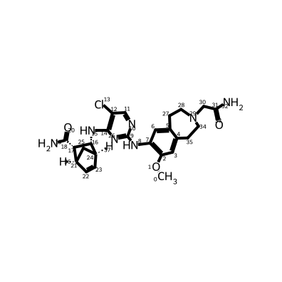 COc1cc2c(cc1Nc1ncc(Cl)c(N[C@H]3[C@@H](C(N)=O)[C@@H]4C=C[C@H]3C4)n1)CCN(CC(N)=O)CC2